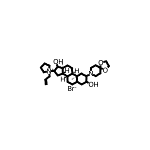 C=CC[N+]1(C2C[C@H]3[C@@H]4CCC5CC(O)C(N6CCC7(CC6)OCCO7)C[C@]5(C)[C@@H]4CC[C@]3(C)C2O)CCCC1.[Br-]